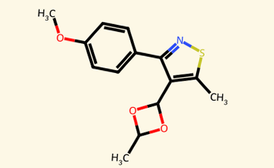 COc1ccc(-c2nsc(C)c2C2OC(C)O2)cc1